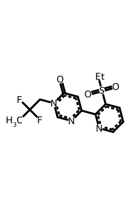 CCS(=O)(=O)c1cccnc1-c1cc(=O)n(CC(C)(F)F)cn1